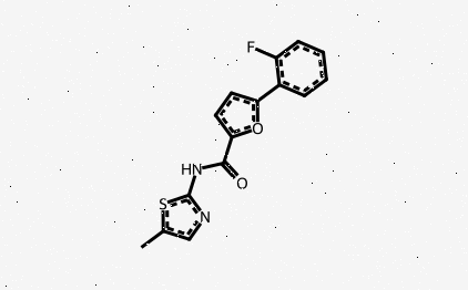 Cc1cnc(NC(=O)c2ccc(-c3ccccc3F)o2)s1